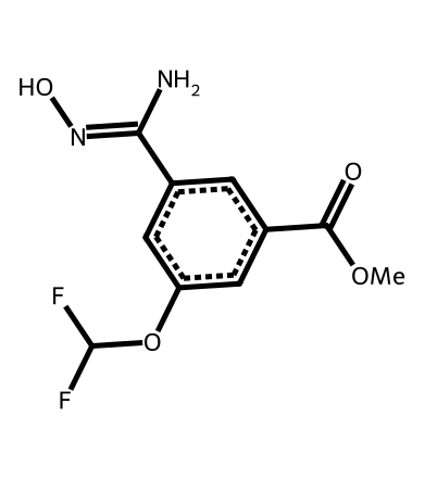 COC(=O)c1cc(OC(F)F)cc(/C(N)=N/O)c1